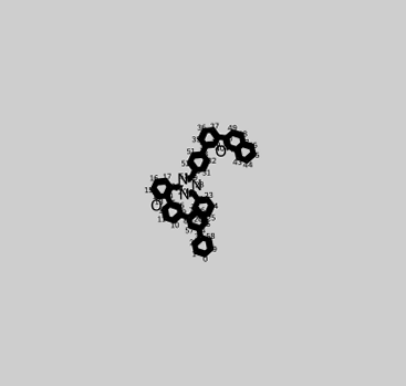 c1ccc(-c2cccc(-c3ccc4oc5cccc(-c6nc(-c7ccccc7)nc(-c7ccc(-c8cccc9c8oc8c%10ccccc%10ccc98)cc7)n6)c5c4c3)c2)cc1